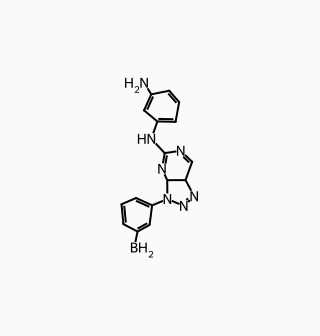 Bc1cccc(N2N=NC3C=NC(Nc4cccc(N)c4)=NC32)c1